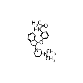 CC(=O)Nc1cccc(O[C@H]2c3ccccc3C[C@@H]2N2CCCC(N(C)C)C2)c1